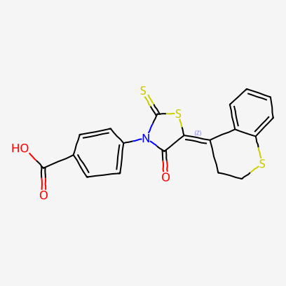 O=C(O)c1ccc(N2C(=O)/C(=C3\CCSc4ccccc43)SC2=S)cc1